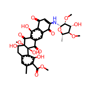 COC(=O)c1c(C)cc2c(c1O)[C@@]1(O)C(=O)c3cc4c(c(O)c3C(=O)[C@@]1(OC)[C@@H](O)C2)C(=O)C=C(N[C@H]1O[C@@H](C)[C@H](OC)[C@@H](O)[C@H]1OC)C4=O